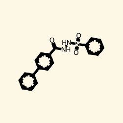 O=C(NNS(=O)(=O)c1ccccc1)c1ccc(-c2ccccc2)cc1